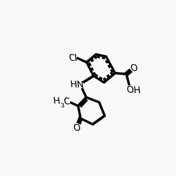 CC1=C(Nc2cc(C(=O)O)ccc2Cl)CCCC1=O